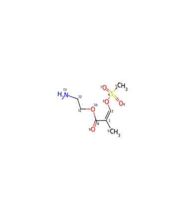 CC(=COS(C)(=O)=O)C(=O)OCCN